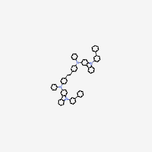 C(=C\c1ccc(N(c2ccccc2)c2ccc3c(c2)c2ccccc2n3-c2cccc(-c3ccccc3)c2)cc1)/c1ccc(N(c2ccccc2)c2ccc3c(c2)c2ccccc2n3-c2cccc(-c3ccccc3)c2)cc1